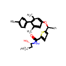 Cc1cc(OC(c2ccc(C(=O)N[C@@H](O)CC(=O)O)s2)C(C)C)cc(C)c1-c1ccc(C(C)(C)C)cc1